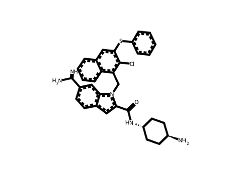 N=C(N)c1ccc2cc(C(=O)N[C@H]3CC[C@H](N)CC3)n(Cc3c(Cl)c(Sc4ccccc4)cc4ccccc34)c2c1